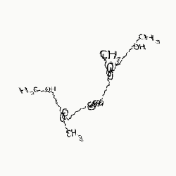 CCCCCCC(O)C/C=C\CCCCCCCC(=O)OC(C/C=C\CCCCCCCC(=O)OBOC(=O)CCCCCCC/C=C\CC(CCCCCC)OC(=O)CCCCCCC/C=C/CC(O)CCCCCC)CCCCCC